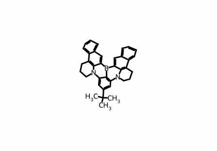 CC(C)(C)c1cc2c3c(c1)N1CCCc4c1c(cc1ccccc41)B3c1cc3ccccc3c3c1N2CCC3